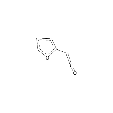 O=C=[C]c1ccco1